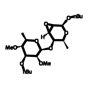 CCCCO[C@H]1O[C@H](C)[C@@H](O[C@@H]2O[C@H](C)[C@@H](OC)[C@H](OCCCC)[C@H]2OC)[C@H]2OC12